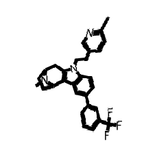 Cc1ccc(CCn2c3c(c4cc(-c5cccc(C(F)(F)F)c5)ccc42)C2CCC(C3)N2C)cn1